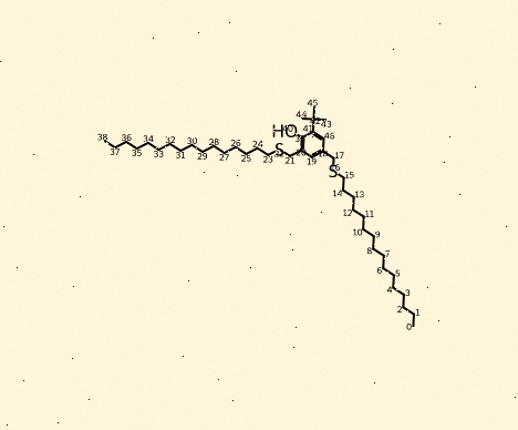 CCCCCCCCCCCCCCCCSCc1cc(CSCCCCCCCCCCCCCCCC)c(O)c(C(C)(C)C)c1